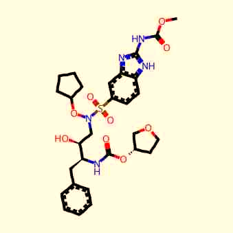 COC(=O)Nc1nc2cc(S(=O)(=O)N(C[C@H](O)[C@H](Cc3ccccc3)NC(=O)O[C@H]3CCOC3)OC3CCCC3)ccc2[nH]1